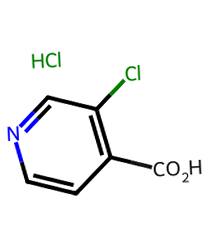 Cl.O=C(O)c1ccncc1Cl